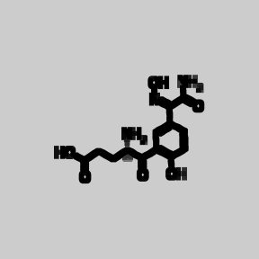 NC(=O)C(=NO)c1ccc(O)c(C(=O)[C@@H](N)CCC(=O)O)c1